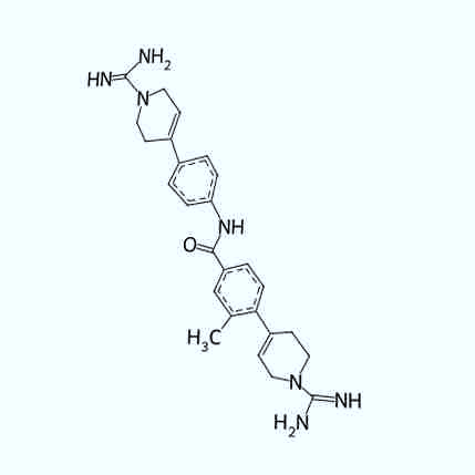 Cc1cc(C(=O)Nc2ccc(C3=CCN(C(=N)N)CC3)cc2)ccc1C1=CCN(C(=N)N)CC1